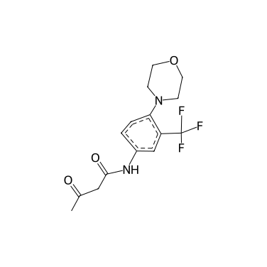 CC(=O)CC(=O)Nc1ccc(N2CCOCC2)c(C(F)(F)F)c1